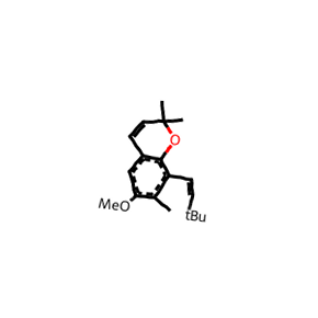 COc1cc2c(c(/C=C\C(C)(C)C)c1C)OC(C)(C)C=C2